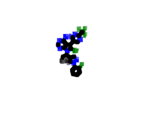 CCC(c1cnn(-c2ccccc2F)c1)n1c(Br)c(-c2cnc(C(F)(F)F)nc2)c2c(N)ncnc21